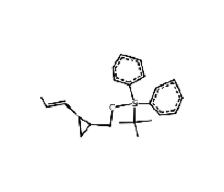 C/C=C/[C@@H]1C[C@@H]1CO[Si](c1ccccc1)(c1ccccc1)C(C)(C)C